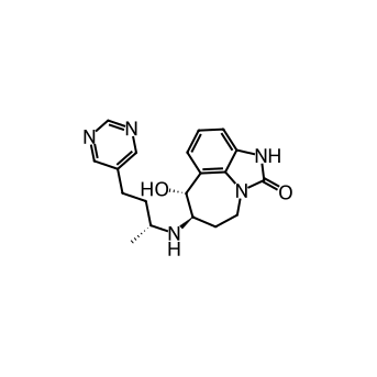 C[C@H](CCc1cncnc1)N[C@@H]1CCn2c(=O)[nH]c3cccc(c32)[C@H]1O